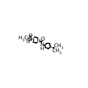 CC(C)[C@H]1CC[C@H](NC(=O)N2CCN(S(C)(=O)=O)CC2)CC1